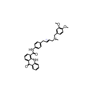 COc1ccc(CN(C)C/C=C/Cc2ccc(NC(=O)c3cccc4c(=O)c5ccccc5[nH]c34)cc2)cc1OC